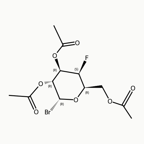 CC(=O)OC[C@H]1O[C@H](Br)[C@H](OC(C)=O)[C@@H](OC(C)=O)[C@H]1F